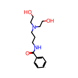 O=C(NCCCN(CCO)CCO)c1cc[c]cc1